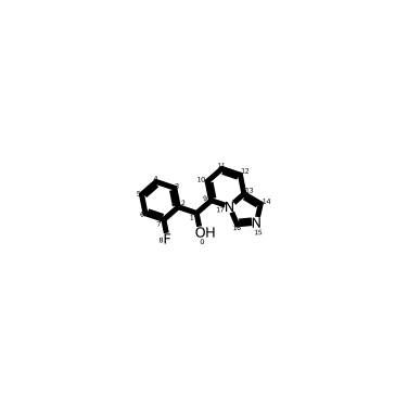 OC(c1ccccc1F)c1cccc2cncn12